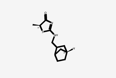 C[C@@H]1SC(NCC2C[C@@H]3CCC2C3)=NC1=O